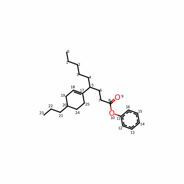 CCCCCC(CCC(=O)Oc1ccccc1)C1=CCC(CCC)CC1